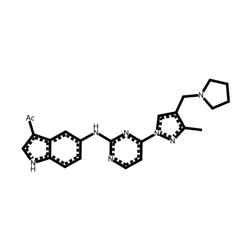 CC(=O)c1c[nH]c2ccc(Nc3nccc(-n4cc(CN5CCCC5)c(C)n4)n3)cc12